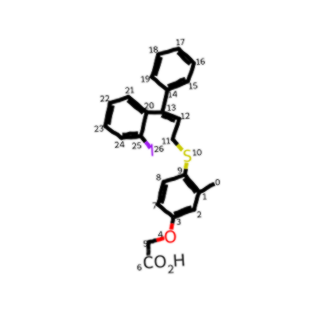 Cc1cc(OCC(=O)O)ccc1SC/C=C(/c1ccccc1)c1ccccc1I